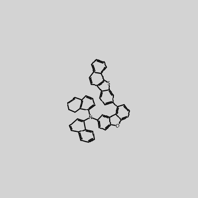 C1=Cc2cccc(N(c3ccc4oc5cccc(-c6ccc7c(c6)sc6c8ccccc8ccc76)c5c4c3)c3cccc4ccccc34)c2CC1